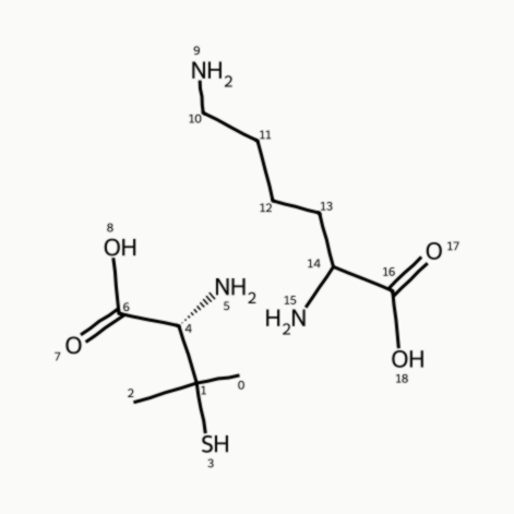 CC(C)(S)[C@@H](N)C(=O)O.NCCCCC(N)C(=O)O